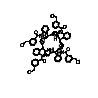 O=C(Nc1ccccc1/C1=C2\C=CC(N2)C(c2ccccc2NC(=O)c2cccc(CCl)c2)C2=N/C(=C(/c3ccccc3NC(=O)c3cccc(CCl)c3)c3ccc([nH]3)/C(c3ccccc3NC(=O)c3cccc(CCl)c3)=C3/C=CC1=N3)C=C2)c1cccc(CCl)c1